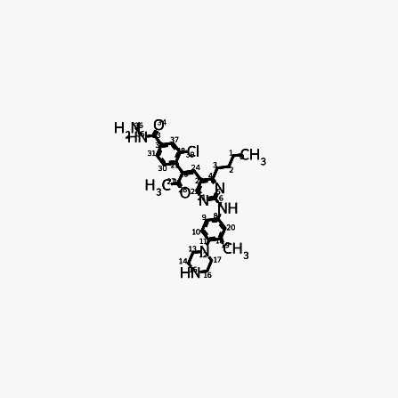 CCCCc1nc(Nc2ccc(N3CCNCC3)c(C)c2)ncc1/C=C(\C(C)=O)c1ccc(C(=O)NN)cc1Cl